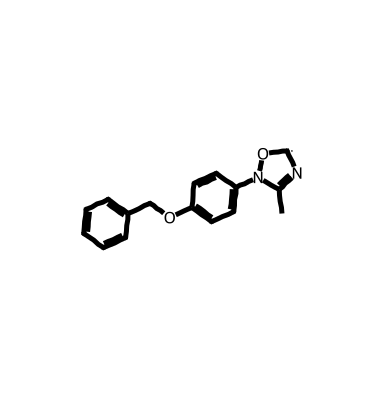 CC1=N[CH]ON1c1ccc(OCc2ccccc2)cc1